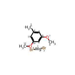 [Br][Mg][Br].[CH2]c1cc(OC)cc(OC)c1